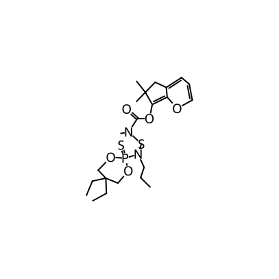 CCCN(SN(C)C(=O)OC1=C2OC=CC=C2CC1(C)C)P1(=S)OCC(CC)(CC)CO1